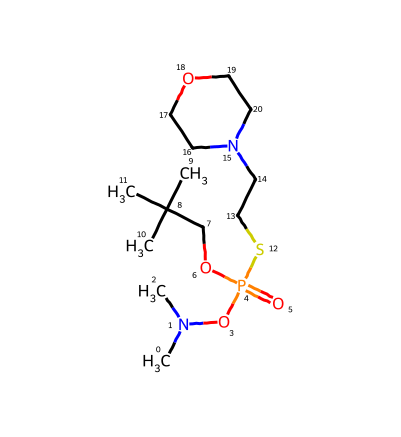 CN(C)OP(=O)(OCC(C)(C)C)SCCN1CCOCC1